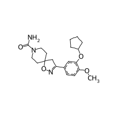 COc1ccc(C2=NOC3(CCN(C(N)=O)CC3)C2)cc1OC1CCCC1